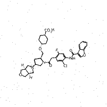 O=C(Nc1cc(F)c(CC(=O)N2C[C@@H](N3C[C@H]4COC[C@H]4C3)C[C@H]2CO[C@H]2CC[C@H](C(=O)O)CC2)cc1Cl)c1coc2ccccc12